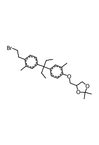 CCC(CC)(c1ccc(CCBr)c(C)c1)c1ccc(OCC2COC(C)(C)O2)c(C)c1